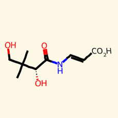 CC(C)(CO)[C@@H](O)C(=O)N/C=C/C(=O)O